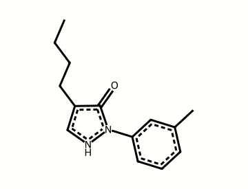 CCCCc1c[nH]n(-c2cccc(C)c2)c1=O